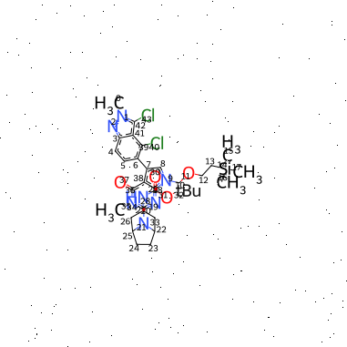 Cn1nc2ccc(-c3cn(COCC[Si](C)(C)C)c4nc(N5C6CCC5CC(NC(=O)OC(C)(C)C)C6)n(C)c(=O)c34)c(Cl)c2c1Cl